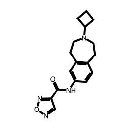 O=C(Nc1ccc2c(c1)CCN(C1CCC1)CC2)c1cnon1